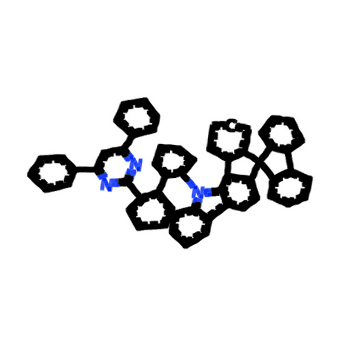 c1ccc(-c2cc(-c3ccccc3)nc(-c3ccccc3-c3ccccc3-n3c4ccccc4c4ccc5c(c43)-c3ccccc3C53c4ccccc4-c4ccccc43)n2)cc1